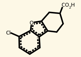 O=C(O)C1CCc2c(oc3c(Cl)cccc23)C1